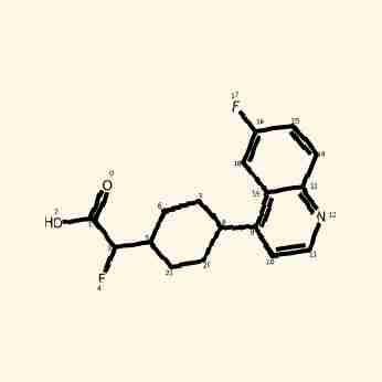 O=C(O)C(F)C1CCC(c2ccnc3ccc(F)cc23)CC1